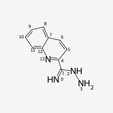 N=C(NN)c1ccc2ccccc2n1